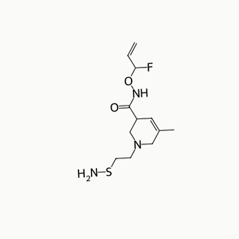 C=CC(F)ONC(=O)C1C=C(C)CN(CCSN)C1